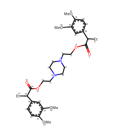 CCC(C(=O)OCCN1CCN(CCOC(=O)C(CC)c2ccc(OC)c(OC)c2)CC1)c1ccc(OC)c(OC)c1